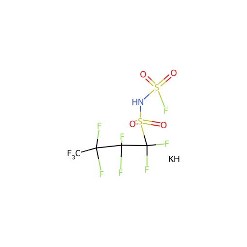 O=S(=O)(F)NS(=O)(=O)C(F)(F)C(F)(F)C(F)(F)C(F)(F)F.[KH]